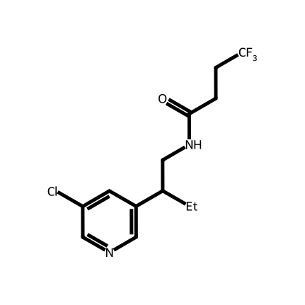 CCC(CNC(=O)CCC(F)(F)F)c1cncc(Cl)c1